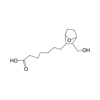 O=C(O)CCCCCCC1C2CCC(O2)C1CO